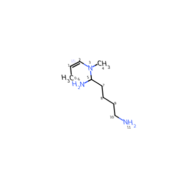 C/C=C\N(C)C(N)CCCCN